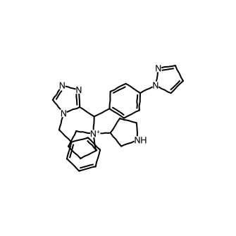 c1ccc(Cn2cnnc2C(c2ccc(-n3cccn3)cc2)[N+]2(C3CCNC3)CCCC2)cc1